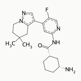 CC1(C)CCn2ncc(-c3cc(NC(=O)[C@H]4CCC[C@@H](N)C4)ncc3F)c2C1